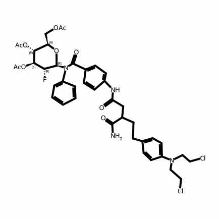 CC(=O)OC[C@H]1O[C@@H](N(C(=O)c2ccc(NC(=O)CC(CCc3ccc(N(CCCl)CCCl)cc3)C(N)=O)cc2)c2ccccc2)[C@H](F)[C@@H](OC(C)=O)[C@@H]1OC(C)=O